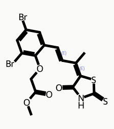 COC(=O)COc1c(Br)cc(Br)cc1/C=C/C(C)=C1/SC(=S)NC1=O